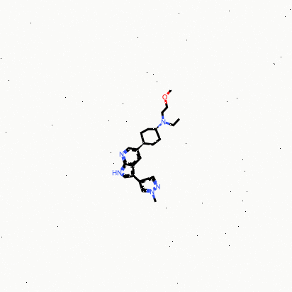 CCN(CCOC)[C@H]1CC[C@@H](c2cnc3[nH]cc(-c4cnn(C)c4)c3c2)CC1